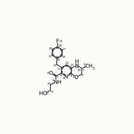 C[C@H]1COc2nc(C(=O)NCCO)c(Cc3ccc(F)cc3)cc2N1